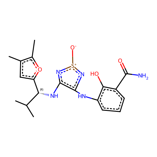 Cc1cc([C@H](Nc2n[s+]([O-])nc2Nc2cccc(C(N)=O)c2O)C(C)C)oc1C